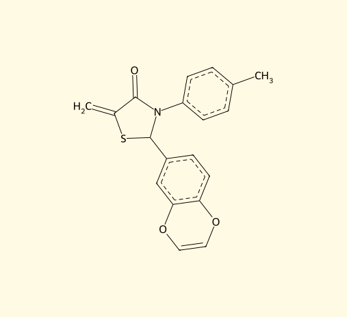 C=C1SC(c2ccc3c(c2)OC=CO3)N(c2ccc(C)cc2)C1=O